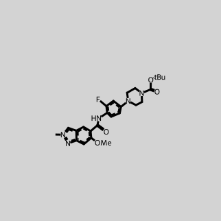 COc1cc2nn(C)cc2cc1C(=O)Nc1ccc(N2CCN(C(=O)OC(C)(C)C)CC2)cc1F